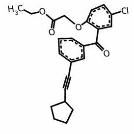 CCOC(=O)COc1ccc(Cl)cc1C(=O)c1cccc(C#CC2CCCC2)c1